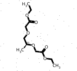 CCOC(=O)COC[C@H](C)OCC(=O)OCC